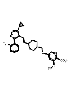 CC(C)Oc1cc(OCC2CCC(/C=C/c3c(-c4ccccc4C(F)(F)F)noc3C3CC3)CC2)cnc1C(=O)O